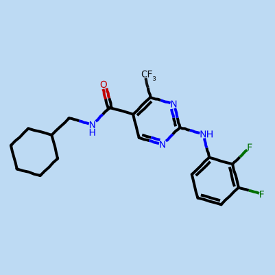 O=C(NCC1CCCCC1)c1cnc(Nc2cccc(F)c2F)nc1C(F)(F)F